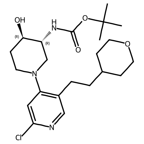 CC(C)(C)OC(=O)N[C@@H]1CN(c2cc(Cl)ncc2CCC2CCOCC2)CC[C@H]1O